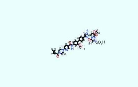 CC(C)[C@H](NC(=O)O)C(=O)N1CC2(C[C@H]1c1nc(-c3ccc(-c4ccc(NC(=O)c5ccc(N6CCN(C(=O)[C@H]7CC7(C)C)C[C@H]6C)nc5)cc4OC(F)(F)F)cc3)c[nH]1)OCCO2